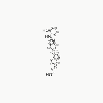 OCCOc1ccn2c(Cc3ccc4nc(NC5CCCCC5O)sc4c3)cnc2c1